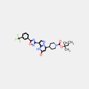 CCC(C)(C)OC(=O)N1CCC(c2cc(=O)[nH]c3c(-c4noc(-c5cccc(C(F)(F)F)c5)n4)cnn23)CC1